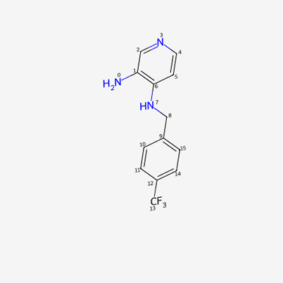 Nc1cnccc1NCc1ccc(C(F)(F)F)cc1